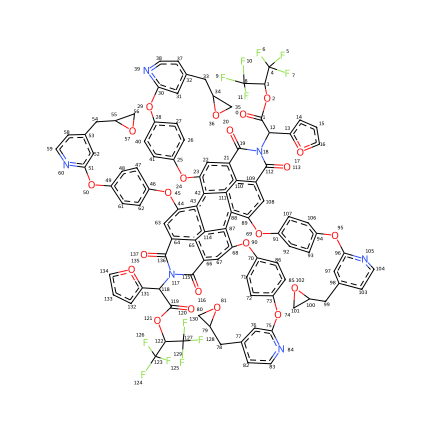 O=C(OC(C(F)(F)F)C(F)(F)F)C(c1ccco1)N1C(=O)c2cc(Oc3ccc(Oc4cc(CC5CO5)ccn4)cc3)c3c4c(Oc5ccc(Oc6cc(CC7CO7)ccn6)cc5)cc5c6c(cc(Oc7ccc(Oc8cc(CC9CO9)ccn8)cc7)c(c7c(Oc8ccc(Oc9cc(CC%10CO%10)ccn9)cc8)cc(c2c37)C1=O)c64)C(=O)N(C(C(=O)OC(C(F)(F)F)C(F)(F)F)c1ccco1)C5=O